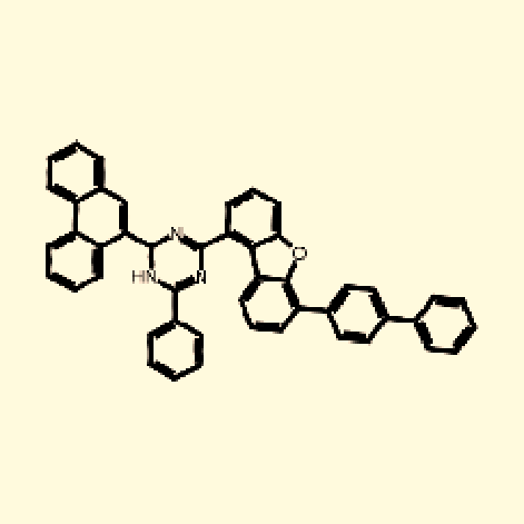 c1ccc(C2=NC(c3cccc4oc5c(-c6ccc(-c7ccccc7)cc6)cccc5c34)=NC(c3cc4ccccc4c4ccccc34)N2)cc1